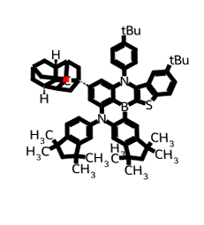 CC(C)(C)c1ccc(N2c3cc([C@]45CC6C7CC8C[C@H]6C(C4)[C@H](C8)C7C5)cc4c3B(c3cc5c(cc3N4c3ccc4c(c3)C(C)(C)CC4(C)C)C(C)(C)CC5(C)C)c3sc4ccc(C(C)(C)C)cc4c32)cc1